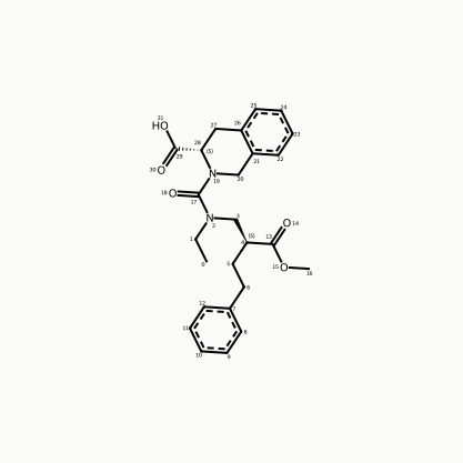 CCN(C[C@H](CCc1ccccc1)C(=O)OC)C(=O)N1Cc2ccccc2C[C@H]1C(=O)O